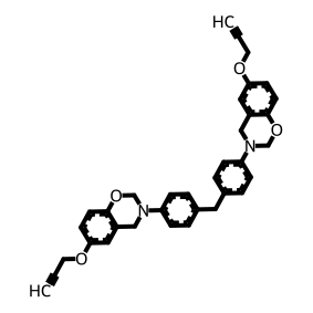 C#CCOc1ccc2c(c1)CN(c1ccc(Cc3ccc(N4COc5ccc(OCC#C)cc5C4)cc3)cc1)CO2